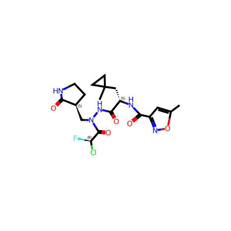 Cc1cc(C(=O)N[C@@H](CC2(C)CC2)C(=O)NN(C[C@@H]2CCNC2=O)C(=O)[C@H](F)Cl)no1